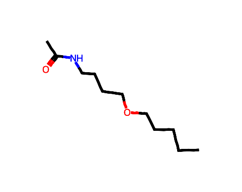 CCCCCOCCCCNC(C)=O